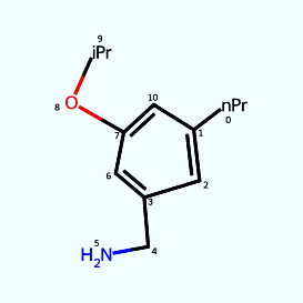 CCCc1cc(CN)cc(OC(C)C)c1